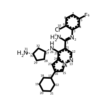 N/C(=N\c1cc(F)ccc1Cl)c1cnn2cc(C3CCCCC3)cc2c1N[C@@H]1CC[C@H](N)C1